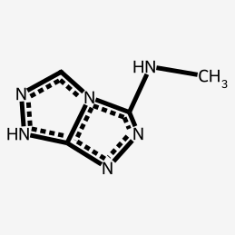 CNc1nnc2[nH]ncn12